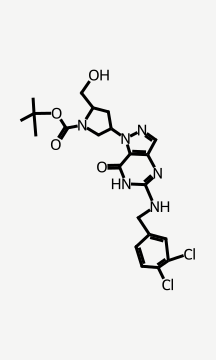 CC(C)(C)OC(=O)N1CC(n2ncc3nc(NCc4ccc(Cl)c(Cl)c4)[nH]c(=O)c32)CC1CO